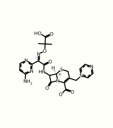 CC(C)(O/N=C(\C(=O)NC1C(=O)N2C(C(=O)[O-])=C(C[n+]3ccncc3)CS[C@H]12)c1nccc(N)n1)C(=O)O